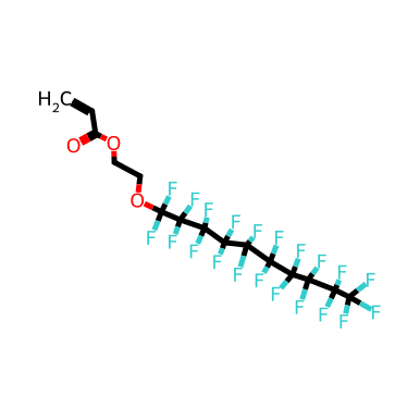 C=CC(=O)OCCOC(F)(F)C(F)(F)C(F)(F)C(F)(F)C(F)(F)C(F)(F)C(F)(F)C(F)(F)C(F)(F)C(F)(F)F